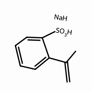 C=C(C)c1ccccc1S(=O)(=O)O.[NaH]